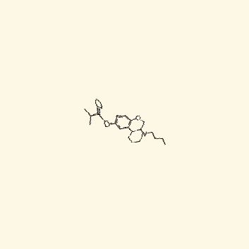 CCCCN1CCCC2c3cc(OC(=O)C(C)C)ccc3OCC21